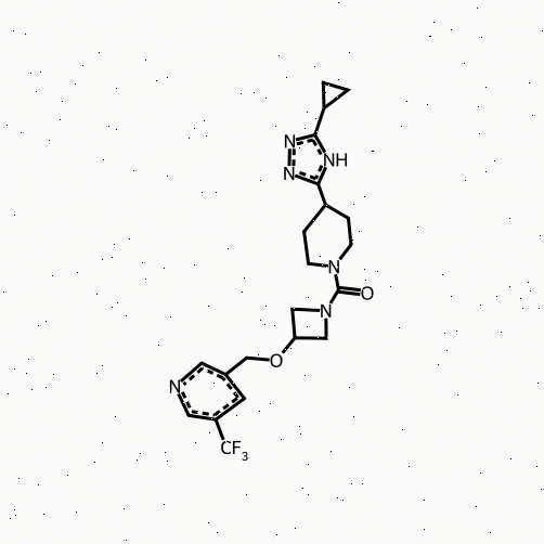 O=C(N1CCC(c2nnc(C3CC3)[nH]2)CC1)N1CC(OCc2cncc(C(F)(F)F)c2)C1